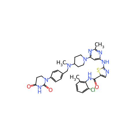 Cc1nc(Nc2ncc(C(=O)Nc3c(C)cccc3Cl)s2)cc(N2CCC(N(C)Cc3ccc(N4CCC(=O)NC4=O)cc3)CC2)n1